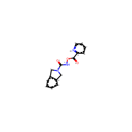 O=C(ONC(=O)N1Cc2ccccc2C1)c1ccccn1